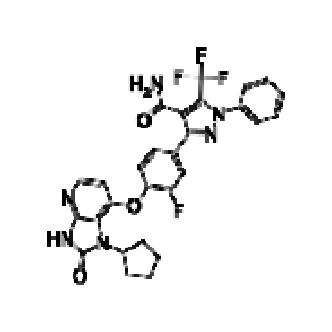 NC(=O)c1c(-c2ccc(Oc3ccnc4[nH]c(=O)n(C5CCCC5)c34)c(F)c2)nn(-c2ccccc2)c1C(F)(F)F